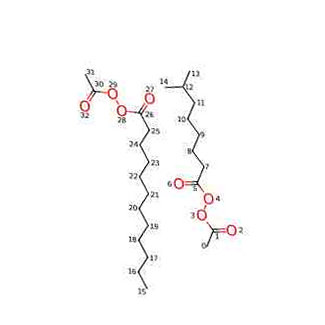 CC(=O)OOC(=O)CCCCCC(C)C.CCCCCCCCCCCC(=O)OOC(C)=O